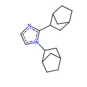 c1cn(C2CC3CCC2C3)c(C2CC3CCC2C3)n1